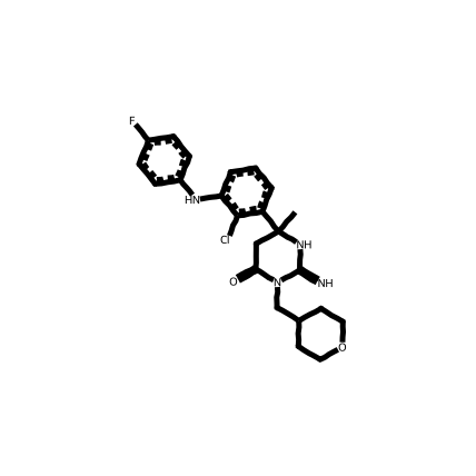 CC1(c2cccc(Nc3ccc(F)cc3)c2Cl)CC(=O)N(CC2CCOCC2)C(=N)N1